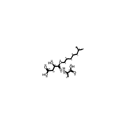 CC(C)CCCCCOC(=O)C(O)CC(=O)O.CC(O)C(=O)O